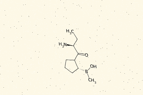 CC[C@H](N)C(=O)C1CCC[C@H]1B(C)O